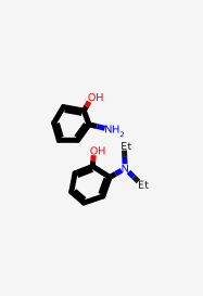 CCN(CC)c1ccccc1O.Nc1ccccc1O